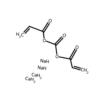 C=CC(=O)OC(=O)OC(=O)C=C.[CaH2].[CaH2].[NaH].[NaH]